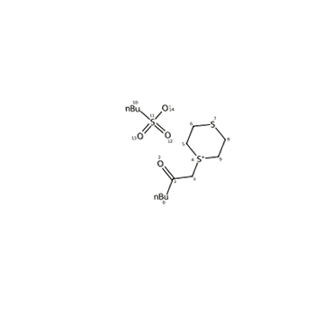 CCCCC(=O)C[S+]1CCSCC1.CCCCS(=O)(=O)[O-]